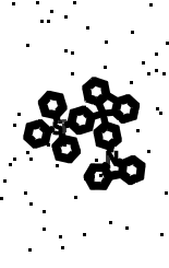 c1ccc([Si](c2ccccc2)(c2ccccc2)c2ccc(C3(c4ccc(-n5c6ccccc6c6ccccc65)cc4)c4ccccc4-c4ccccc43)cc2)cc1